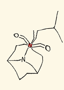 CC(C)CS(=O)(=O)N1C2CC1CN(C)C2